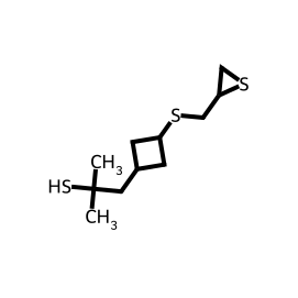 CC(C)(S)CC1CC(SCC2CS2)C1